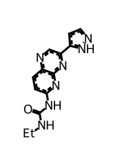 CCNC(=O)Nc1ccc2ncc(-c3ccn[nH]3)nc2n1